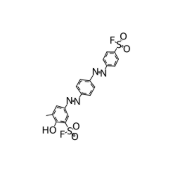 Cc1cc(N=Nc2ccc(N=Nc3ccc(S(=O)(=O)F)cc3)cc2)cc(S(=O)(=O)F)c1O